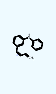 C=C/C=C\c1cccc(Nc2ccccc2)c1